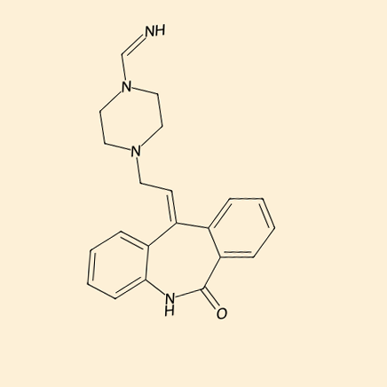 N=CN1CCN(C/C=C2\c3ccccc3NC(=O)c3ccccc32)CC1